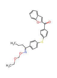 CCC/C(=N\OCOCC)c1ccc(Sc2ccc(C(=O)c3cc4ccccc4o3)cc2)cc1